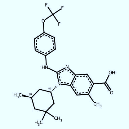 Cc1cc2c(cc1C(=O)O)nc(Nc1ccc(OC(F)(F)F)cc1)n2[C@H]1C[C@H](C)CC(C)(C)C1